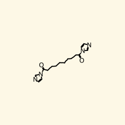 O=C(CCCCCCCCC(=O)n1ccnc1)n1ccnc1